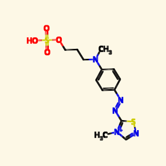 CN(CCCOS(=O)(=O)O)c1ccc(N=Nc2snc[n+]2C)cc1